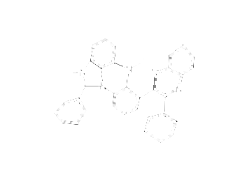 CN1c2cccc3c2N(c2cccc(-c4nc5ccccc5nc4-c4ccccc4)c21)C(c1ccccc1)N3